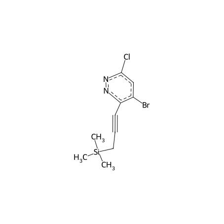 C[Si](C)(C)CC#Cc1nnc(Cl)cc1Br